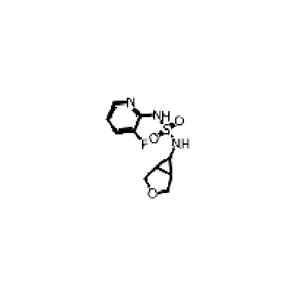 O=S(=O)(Nc1ncccc1F)NC1C2COCC21